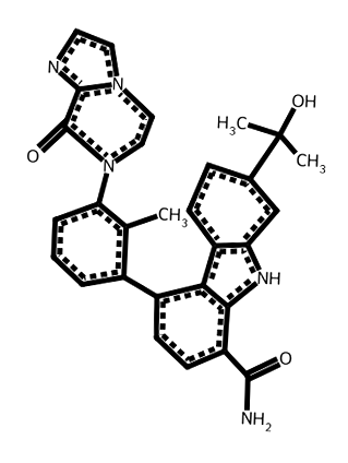 Cc1c(-c2ccc(C(N)=O)c3[nH]c4cc(C(C)(C)O)ccc4c23)cccc1-n1ccn2ccnc2c1=O